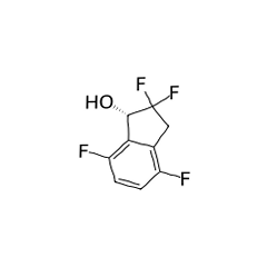 O[C@H]1c2c(F)ccc(F)c2CC1(F)F